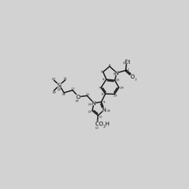 CCC(=O)N1CCc2cc(-c3nc(C(=O)O)cn3COCC[Si](C)(C)C)ccc21